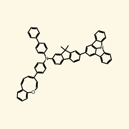 CC1(C)c2cc(-c3cc4c5ccccc5n5c6ccccc6c(c3)c45)ccc2-c2ccc(N(c3ccc(-c4ccccc4)cc3)c3ccc(-c4cccc5ccccc5occ4)cc3)cc21